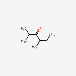 CCC(C)C(=O)[C](C)C